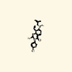 C=Cc1c(N(CC(=C)C)C(C)=O)ccc2c(=O)n(-c3ccc(Cl)cc3)c(C(C)C)nc12